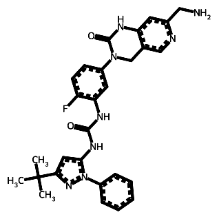 CC(C)(C)c1cc(NC(=O)Nc2cc(N3Cc4cnc(CN)cc4NC3=O)ccc2F)n(-c2ccccc2)n1